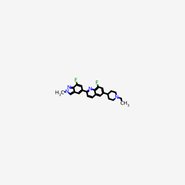 CCN1CCC(c2cc(F)c3nc(-c4cc(F)c5nn(C)cc5c4)ccc3c2)CC1